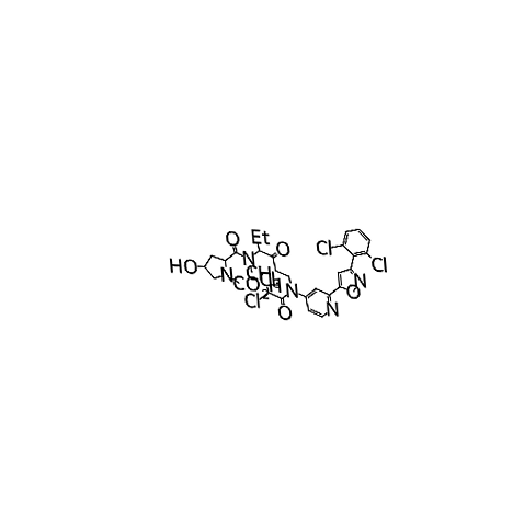 CCC(C(=O)CCN(C(=O)C(Cl)Cl)c1ccnc(-c2cc(-c3c(Cl)cccc3Cl)no2)c1)N(C)C(=O)C1CC(O)CN1C(=O)O